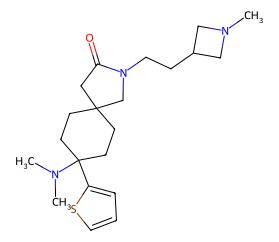 CN1CC(CCN2CC3(CCC(c4cccs4)(N(C)C)CC3)CC2=O)C1